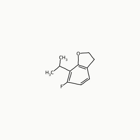 CC(C)c1c(F)ccc2c1OCC2